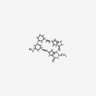 CC1CC(=O)c2cc(C#Cc3cccc(CF)c3)cn2C1.O=C1CCn2cc(C#Cc3ccccc3)cc21